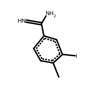 Cc1ccc(C(=N)N)cc1I